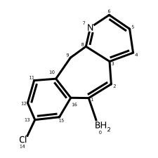 BC1=Cc2cccnc2Cc2ccc(Cl)cc21